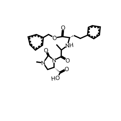 CC(N[C@@H](CCc1ccccc1)C(=O)OCc1ccccc1)C(=O)N1C(=O)N(C)C[C@H]1C(=O)O